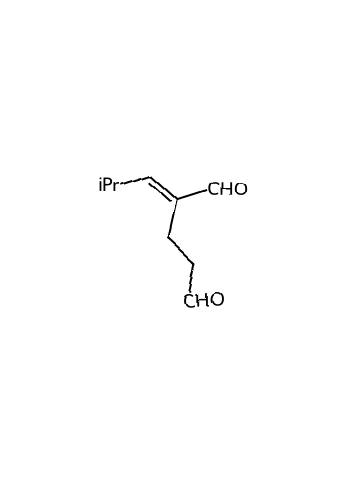 CC(C)/C=C(/C=O)CCC=O